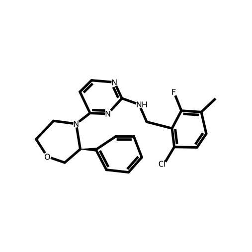 Cc1ccc(Cl)c(CNc2nccc(N3CCOC[C@@H]3c3ccccc3)n2)c1F